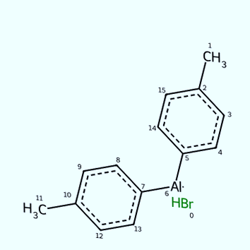 Br.Cc1cc[c]([Al][c]2ccc(C)cc2)cc1